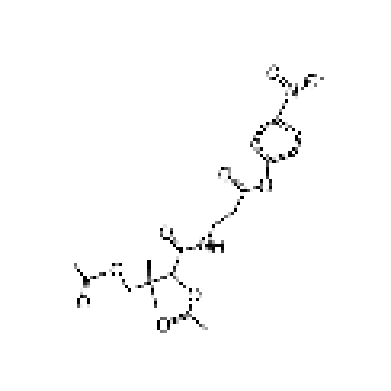 CC(=O)OCC(C)(C)C(OC(C)=O)C(=O)NCCC(=O)Oc1ccc([N+](=O)[O-])cc1